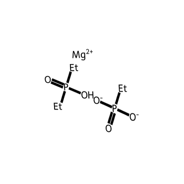 CCP(=O)(O)CC.CCP(=O)([O-])[O-].[Mg+2]